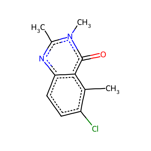 Cc1c(Cl)ccc2nc(C)n(C)c(=O)c12